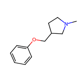 CN1CCC(COc2ccccc2)C1